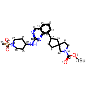 CC(C)(C)OC(=O)N1CCC2(CCC(c3cccc4cnc(NC5CCN(S(C)(=O)=O)CC5)nc34)C2)C1